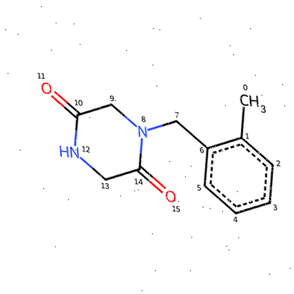 Cc1ccccc1CN1CC(=O)NCC1=O